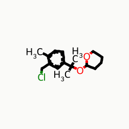 Cc1ccc(C(C)(C)OC2CCCCO2)cc1CCl